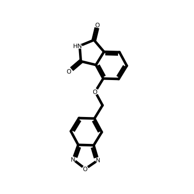 O=C1NC(=O)c2c(OCc3ccc4nonc4c3)cccc21